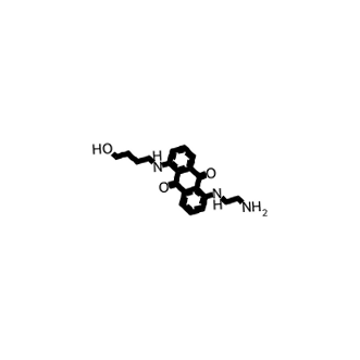 NCCNc1cccc2c1C(=O)c1cccc(NCCCCO)c1C2=O